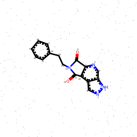 O=C1c2ncc3[nH]ncc3c2C(=O)N1CCc1ccccc1